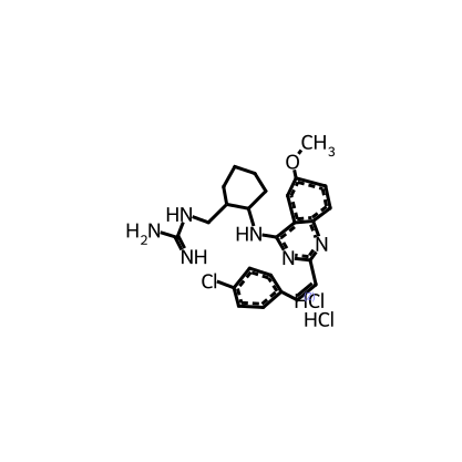 COc1ccc2nc(/C=C\c3ccc(Cl)cc3)nc(NC3CCCCC3CNC(=N)N)c2c1.Cl.Cl